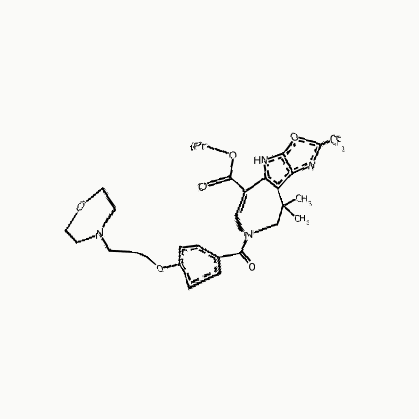 CC(C)OC(=O)C1=CN(C(=O)c2ccc(OCCN3CCOCC3)cc2)CC(C)(C)c2c1[nH]c1oc(C(F)(F)F)nc21